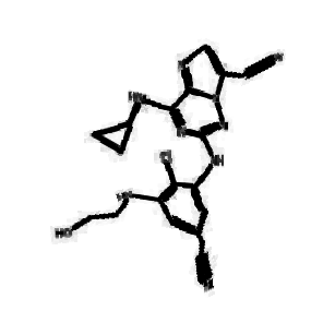 N#Cc1cc(NCCO)c(Cl)c(Nc2nc(NC3CC3)c3ncc(C#N)n3n2)c1